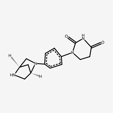 O=C1CCN(c2ccc(N3C[C@H]4C[C@@H]3CN4)cc2)C(=O)N1